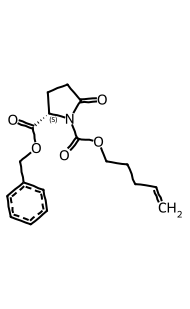 C=CCCCOC(=O)N1C(=O)CC[C@H]1C(=O)OCc1ccccc1